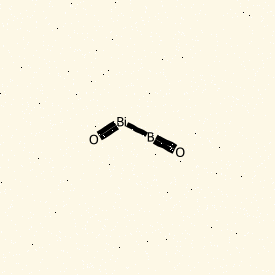 O=[B][Bi]=[O]